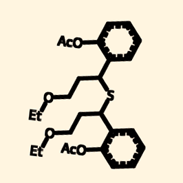 CCOCCC(SC(CCOCC)c1ccccc1OC(C)=O)c1ccccc1OC(C)=O